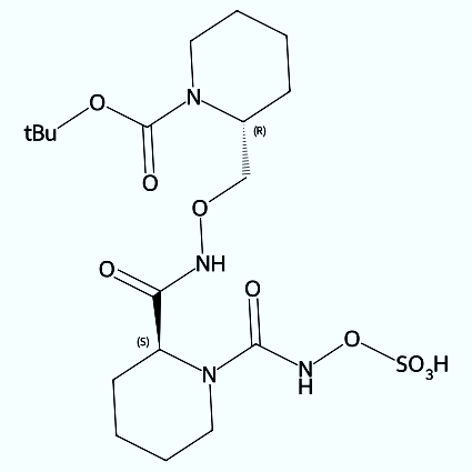 CC(C)(C)OC(=O)N1CCCC[C@@H]1CONC(=O)[C@@H]1CCCCN1C(=O)NOS(=O)(=O)O